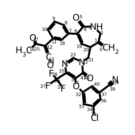 C=C1CNC(=O)C(c2cccc(C(=C=O)C(C)=O)c2)=CC1Cn1cnc(C(F)(F)F)c(Oc2cc(Cl)cc(C#N)c2)c1=O